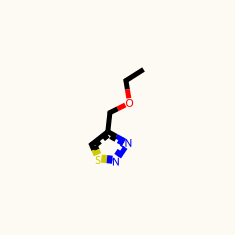 CCOCc1csnn1